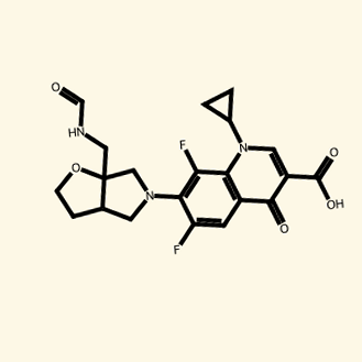 O=CNCC12CN(c3c(F)cc4c(=O)c(C(=O)O)cn(C5CC5)c4c3F)CC1CCO2